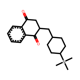 C[Si](C)(C)C1CCC(CC2CC(=O)c3ccccc3C2=O)CC1